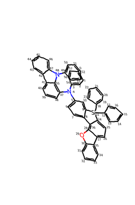 c1ccc(N(c2ccc3c(c2)[Si](c2ccccc2)(c2ccccc2)c2ccc4c(oc5ccccc54)c2-3)c2cccc3c4ccccc4n(-c4ccccc4)c23)cc1